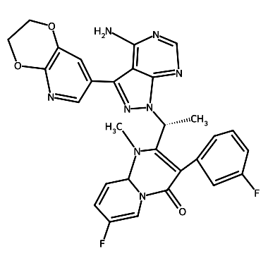 C[C@H](C1=C(c2cccc(F)c2)C(=O)N2C=C(F)C=CC2N1C)n1nc(-c2cnc3c(c2)OCCO3)c2c(N)ncnc21